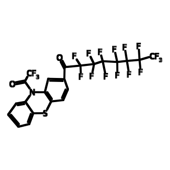 O=C(N1c2ccccc2Sc2ccc(C(=O)C(F)(F)C(F)(F)C(F)(F)C(F)(F)C(F)(F)C(F)(F)C(F)(F)F)cc21)C(F)(F)F